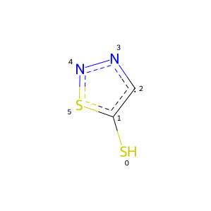 Sc1[c]nns1